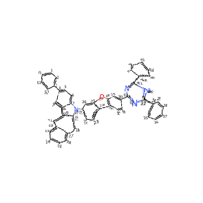 c1ccc(-c2ccc3c(c2)c2cc4ccccc4cc2n3-c2ccc3c(c2)oc2cc(-c4nc(-c5ccccc5)nc(-c5ccccc5)n4)ccc23)cc1